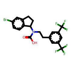 O=C(O)N(CCc1cc(C(F)(F)F)cc(C(F)(F)F)c1)C1CCc2cc(Br)ccc21